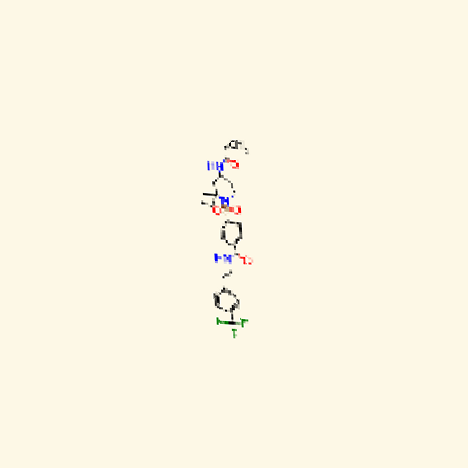 C=CC(=O)NC1CCN(S(=O)(=O)c2ccc(C(=O)NCCc3ccc(C(F)(F)F)cc3)cc2)C2(CCC2)C1